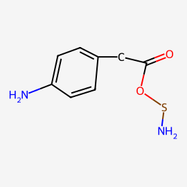 NSOC(=O)Cc1ccc(N)cc1